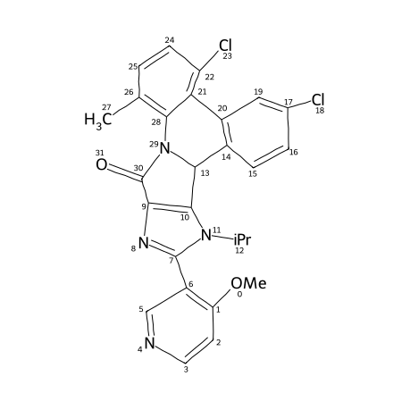 COc1ccncc1-c1nc2c(n1C(C)C)C1c3ccc(Cl)cc3-c3c(Cl)ccc(C)c3N1C2=O